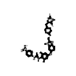 Cc1cc(Oc2ccc3nc(COc4ccc(CC5SC(=O)NC5=O)cc4)n(C)c3c2)cc(C)c1NC(=O)Nc1ccc([N+](=O)[O-])cc1